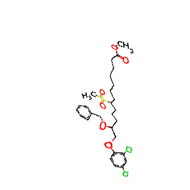 COC(=O)CCCCCCC(CCCC(COc1ccc(Cl)cc1Cl)OCc1ccccc1)S(C)(=O)=O